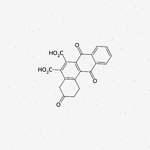 O=C1CCc2c(c(C(=O)O)c(C(=O)O)c3c2C(=O)c2ccccc2C3=O)C1